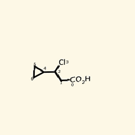 O=C(O)CC(Cl)C1CC1